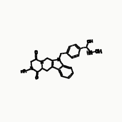 CCCN1CC(=O)N2Cc3c(c4ccccc4n3Cc3ccc(C(O)NO)cc3)CC2C1=O